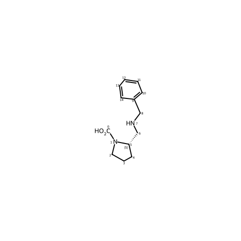 O=C(O)N1CCC[C@H]1CNCc1ccccc1